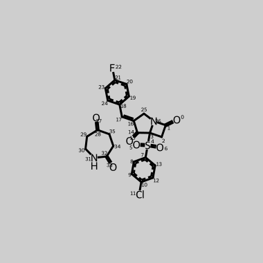 O=C1CC2(S(=O)(=O)c3ccc(Cl)cc3)C(=O)C(=Cc3ccc(F)cc3)CN12.O=C1CCNC(=O)CC1